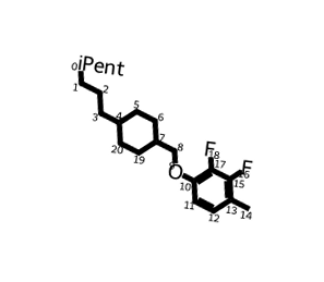 CCCC(C)CCCC1CCC(COc2ccc(C)c(F)c2F)CC1